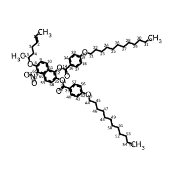 CC=CCC[C@@H](C)Oc1ccc2c(OC(=O)c3ccc(OCCCCCCCCCCCC)cc3)c(OC(=O)c3ccc(OCCCCCCCCCCCC)cc3)ccc2c1[N+](=O)[O-]